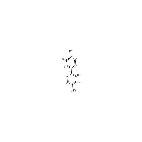 CC(C)c1ccc(-c2ccc(F)nc2)cc1